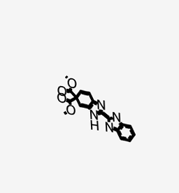 COC(=O)C1(C(=O)OC)C=Cc2nc(=C3N=c4ccccc4=N3)[nH]c2=C1